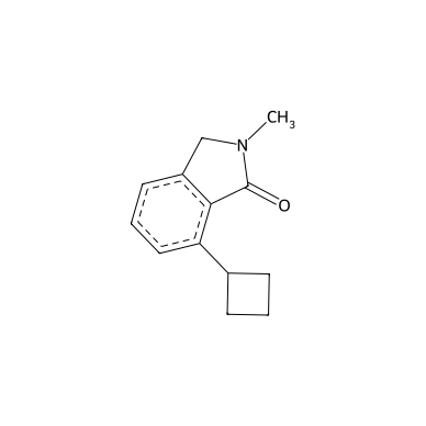 CN1Cc2cccc(C3CCC3)c2C1=O